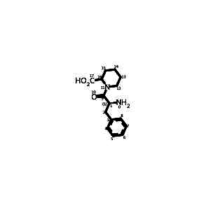 N[C@@H](Cc1ccccc1)C(=O)N1CCCCC1C(=O)O